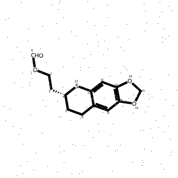 O=COCC[C@H]1CCc2cc3c(cc2S1)OCO3